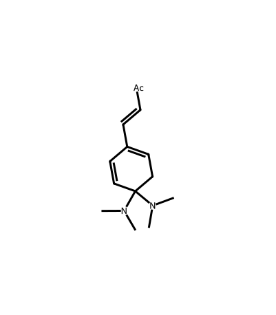 CC(=O)C=CC1=CCC(N(C)C)(N(C)C)C=C1